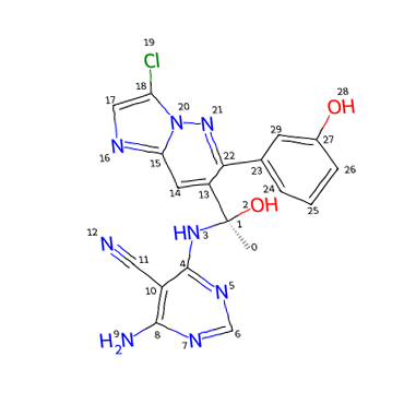 C[C@](O)(Nc1ncnc(N)c1C#N)c1cc2ncc(Cl)n2nc1-c1cccc(O)c1